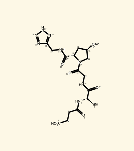 CC[C@H](C)[C@H](NC(=O)CCC(=O)O)C(=O)NCC(=O)N1C[C@H](OC(C)=O)C[C@H]1C(=O)NCc1nn[nH]n1